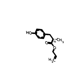 C=CCOC(=O)[C@@H](C)Cc1ccc(O)cc1